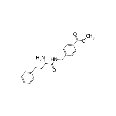 COC(=O)c1ccc(CNC(=O)[C@@H](N)CCc2ccccc2)cc1